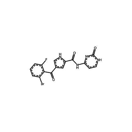 O=C(Nc1cc[nH]c(=O)n1)c1cc(C(=O)c2c(F)cccc2Br)c[nH]1